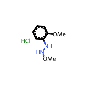 CONNc1ccccc1OC.Cl